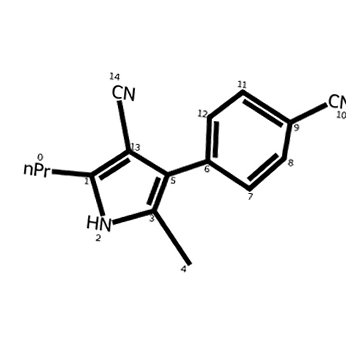 CCCc1[nH]c(C)c(-c2ccc(C#N)cc2)c1C#N